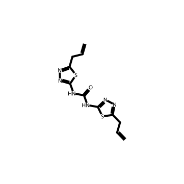 C=CCc1nnc(NC(=O)Nc2nnc(CC=C)s2)s1